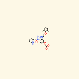 CCOC(=O)COc1ccc(NC(=O)CC2CCCCN2)c(NCCOc2c(C)cccc2C)c1